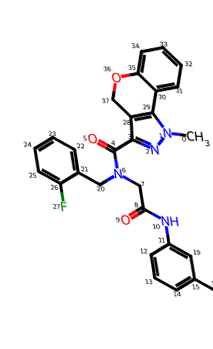 Cn1nc(C(=O)N(CC(=O)Nc2cccc(C(=O)O)c2)Cc2ccccc2F)c2c1-c1ccccc1OC2